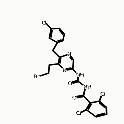 O=C(NC(=O)c1c(Cl)cccc1Cl)Nc1cnc(Cc2cccc(Cl)c2)c(CCBr)n1